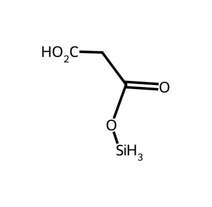 O=C(O)CC(=O)O[SiH3]